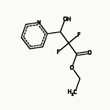 CCOC(=O)C(F)(F)C(O)c1ccccn1